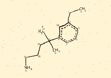 CCc1cccc(C(C)(C)CCCN)c1